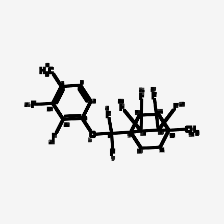 Cc1ccc(OC(F)(F)C23CCC(C)(CC2)C(F)(F)C3(F)F)c(F)c1F